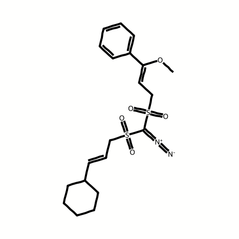 COC(=CCS(=O)(=O)C(=[N+]=[N-])S(=O)(=O)CC=CC1CCCCC1)c1ccccc1